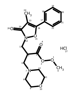 COOC(=O)C(CN1CCOCC1)Cn1oc(-c2ccccc2)c(C)c1=O.Cl